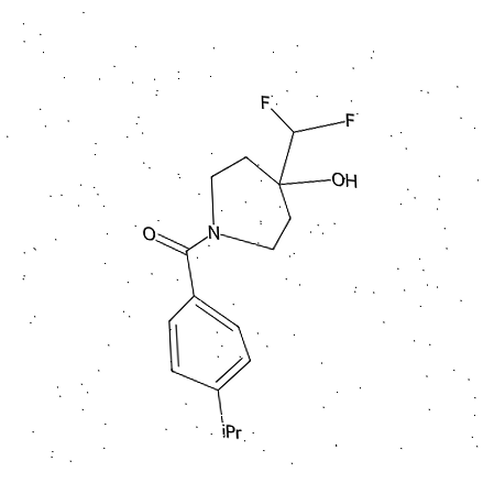 CC(C)c1ccc(C(=O)N2CCC(O)(C(F)F)CC2)cc1